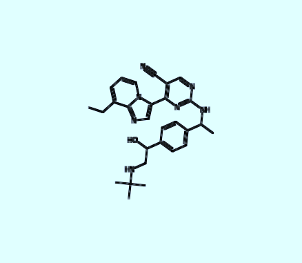 CCc1cccn2c(-c3nc(NC(C)c4ccc(C(O)CNC(C)(C)C)cc4)ncc3C#N)cnc12